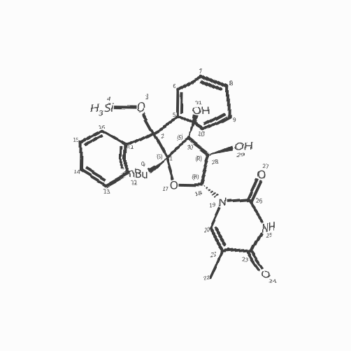 CCCC[C@]1(C(O[SiH3])(c2ccccc2)c2ccccc2)O[C@@H](n2cc(C)c(=O)[nH]c2=O)[C@H](O)[C@@H]1O